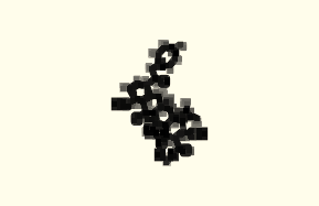 CN1CCN(CC(=O)c2ccc(O)c3c2C[C@H]2C[C@@H]4[C@H](N(C)C)C(O)=C(C(N)=O)C(=O)[C@@]4(O)C(O)=C2C3=O)CC1